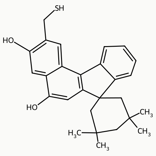 CC1(C)CC(C)(C)CC2(C1)c1ccccc1-c1c2cc(O)c2cc(O)c(CS)cc12